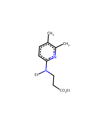 CCOC(=O)CCN(CC)c1ccc(C)c(C)n1